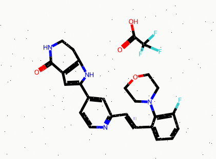 O=C(O)C(F)(F)F.O=C1NCCc2[nH]c(-c3ccnc(/C=C/c4cccc(F)c4N4CCOCC4)c3)cc21